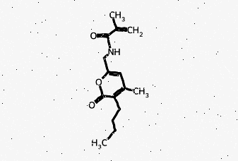 C=C(C)C(=O)NCc1cc(C)c(CCCC)c(=O)o1